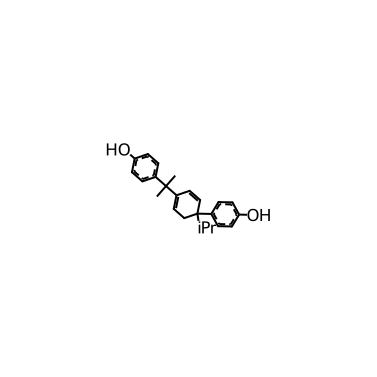 CC(C)C1(c2ccc(O)cc2)C=CC(C(C)(C)c2ccc(O)cc2)=CC1